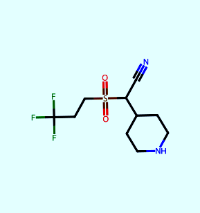 N#CC(C1CCNCC1)S(=O)(=O)CCC(F)(F)F